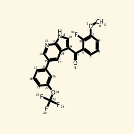 COc1cccc(C(=O)c2c[nH]c3ncc(-c4cccc(OC(F)(F)F)c4)cc23)c1F